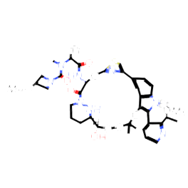 CCn1c(-c2cccnc2[C@H](C)OC)c2c3cc(ccc31)-c1csc(n1)C[C@H](NC(=O)C(C(C)C)N(C)C(=O)N1CC(OC)C1)C(=O)N1CCC[C@H](N1)[C@@H](O)CCC(C)(C)C2